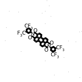 O=C1c2ccc3c4ccc5c6c(ccc(c7ccc(c2c37)C(=O)N1c1cc(C(F)(F)F)cc(C(F)(F)F)c1)c64)C(=O)N(c1cc(C(F)(F)F)cc(C(F)(F)F)c1)C5=O